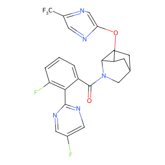 O=C(c1cccc(F)c1-c1ncc(F)cn1)N1CC2CCC1C(Oc1cnc(C(F)(F)F)cn1)C2